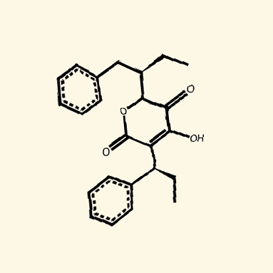 CC[C@H](Cc1ccccc1)C1OC(=O)C([C@@H](CC)c2ccccc2)=C(O)C1=O